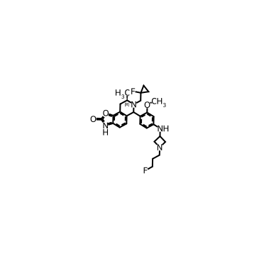 COc1cc(NC2CN(CCCF)C2)ccc1C1c2ccc3[nH]c(=O)oc3c2C[C@@H](C)N1CC1(F)CC1